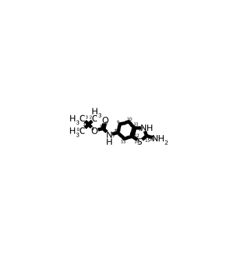 CC(C)(C)OC(=O)NC1CCC2=C(C1)SC(N)N2